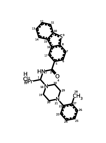 CCCC(NC(=O)c1ccc2sc3ccccc3c2c1)N1CCN(c2ccccc2C)CC1.Cl